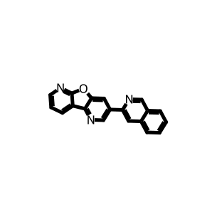 c1ccc2cc(-c3cnc4c(c3)oc3ncccc34)ncc2c1